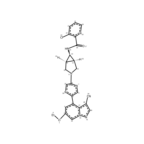 CCOc1cc(-c2cnc(N3C[C@@H]4[C@H](C3)[C@@H]4NC(=O)c3ncccc3Cl)cn2)c2c(C#N)cnn2c1